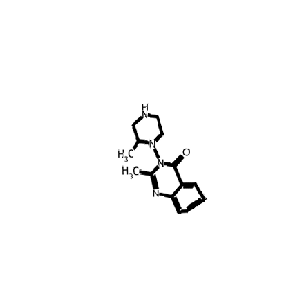 Cc1nc2ccccc2c(=O)n1N1CCNCC1C